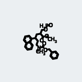 COC(=O)C(CO[PH2]=O)CC(CCN(C)C(=O)OCc1ccccc1)c1cccc2ccccc12